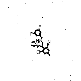 CC[Si](CC)(CC)OC(CNCc1cc(F)cc(F)c1)c1c(Cl)cc(C)cc1C#N